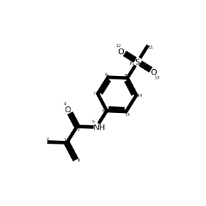 C=C(C)C(=O)Nc1ccc(S(C)(=O)=O)cc1